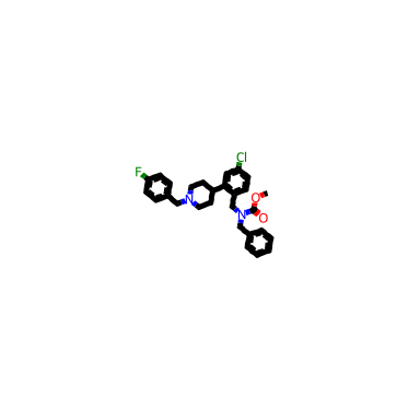 COC(=O)N(Cc1ccccc1)Cc1ccc(Cl)cc1C1CCN(Cc2ccc(F)cc2)CC1